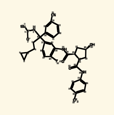 CC(C)(C)[S+]([O-])NC(CCC1CC1)(c1cccc(C#N)c1)c1ccc(F)c(NC(=O)[C@H]2C[C@@H](O)CN2C(=O)Nc2ccc(C(F)(F)F)cc2)c1